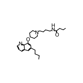 CCCCc1cc(OC2CCN(CCCCNC(=O)CCC)CC2)c2ncccc2c1